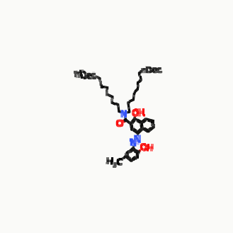 CCCCCCCCCCCCCCCCCCN(CCCCCCCCCCCCCCCCCC)C(=O)c1cc(/N=N/c2cc(C)ccc2O)c2ccccc2c1O